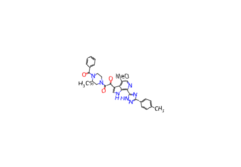 COc1cnc(-c2nc(-c3ccc(C)cc3)n[nH]2)c2[nH]cc(C(=O)C(=O)N3CCN(C(=O)c4ccccc4)[C@H](C)C3)c12